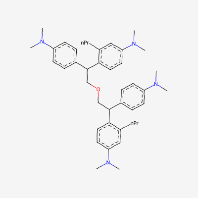 CCCc1cc(N(C)C)ccc1C(COCC(c1ccc(N(C)C)cc1)c1ccc(N(C)C)cc1CCC)c1ccc(N(C)C)cc1